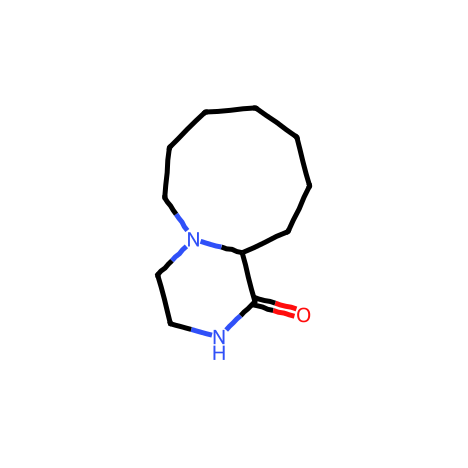 O=C1NCCN2CCCCCCCC12